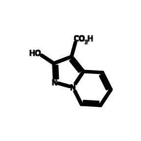 O=C(O)c1c(O)nn2ccccc12